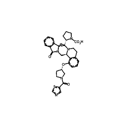 O=C(c1cncs1)N1CC[C@H](Oc2cccc3c2[C@@H](CN2C(=O)c4ccccc4C2=O)N(C(=O)[C@@H]2CCCN2C(=O)O)CC3)C1